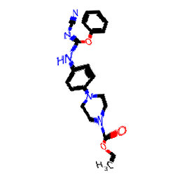 CCOC(=O)N1CCN(c2ccc(N/C(=N/C#N)Oc3ccccc3)cc2)CC1